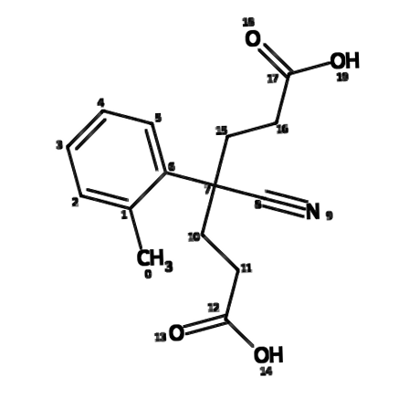 Cc1ccccc1C(C#N)(CCC(=O)O)CCC(=O)O